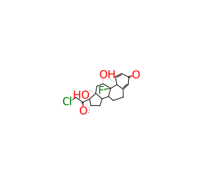 C[C@H]1CC2C3CCC4=CC(=O)C=C[C@]4(C)[C@@]3(F)[C@@H](O)C[C@]2(C)[C@@]1(O)C(=O)CCl